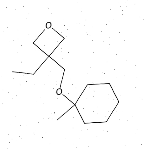 CCC1(COC2(C)CCCCC2)COC1